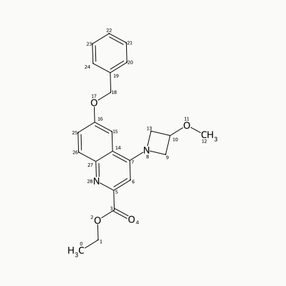 CCOC(=O)c1cc(N2CC(OC)C2)c2cc(OCc3ccccc3)ccc2n1